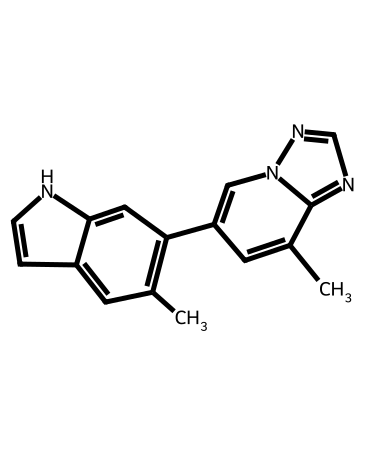 Cc1cc2cc[nH]c2cc1-c1cc(C)c2ncnn2c1